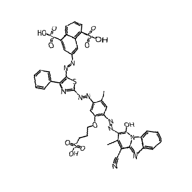 Cc1cc(N=Nc2c(C)c(C#N)c3nc4ccccc4n3c2O)c(OCCCS(=O)(=O)O)cc1N=Nc1nc(-c2ccccc2)c(N=Nc2cc(S(=O)(=O)O)c3cccc(S(=O)(=O)O)c3c2)s1